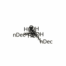 CCCCCCCCCCCCCCCC(O)C(O)CN(CCP(=O)(O)O)C(=O)C(O)CCCCCCCCCCCCCC